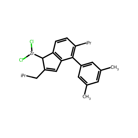 Cc1cc(C)cc(-c2c(C(C)C)ccc3c2C=C(CC(C)C)[CH]3[Zr]([Cl])[Cl])c1